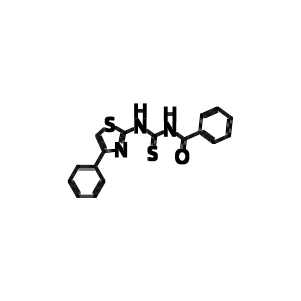 O=C(NC(=S)Nc1nc(-c2ccccc2)cs1)c1ccccc1